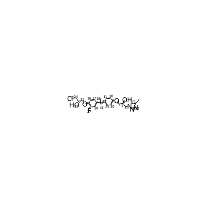 Cc1cn(C[C@@H](O)COc2ccc(C(C)(C)c3ccc(OC[C@@H](O)CCl)c(F)c3)cc2)nn1